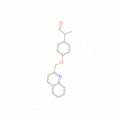 CC(C=O)c1ccc(OCc2ccc3ccccc3n2)cc1